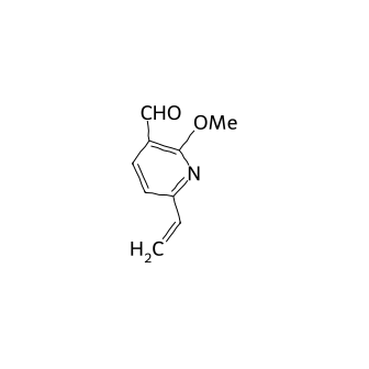 C=Cc1ccc(C=O)c(OC)n1